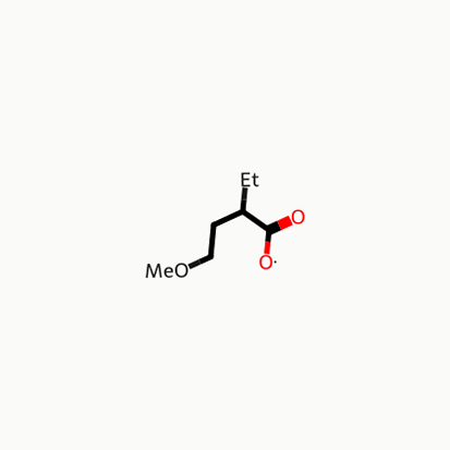 CCC(CCOC)C([O])=O